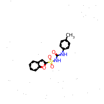 Cc1ccc(NC(=O)NS(=O)(=O)c2cc3ccccc3o2)cc1